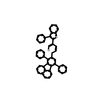 CC/C=C(\C=C/Cc1cc(-c2ccccc2)c2c(c1-c1ccccc1)-c1cccc3cccc-2c13)c1sc2ccccc2c1-c1ccccc1